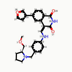 COC[C@@H]1CCCN1Cc1ccc(N/C=C2\C(=O)NC(=O)c3ccc(-c4ccoc4)cc32)cc1